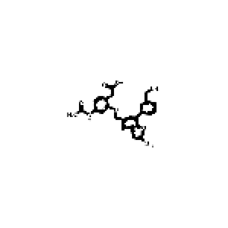 CC(=O)Nc1ccc(CC(=O)O)c(OCc2cc(-c3cccc(CN)c3)c3oc(C)cc3c2)c1